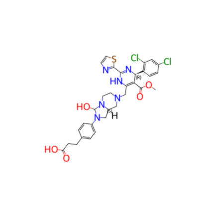 COC(=O)C1=C(CN2CCN3C(O)N(c4ccc(CCC(=O)O)cc4)C[C@@H]3C2)NC(c2nccs2)=N[C@H]1c1ccc(Cl)cc1Cl